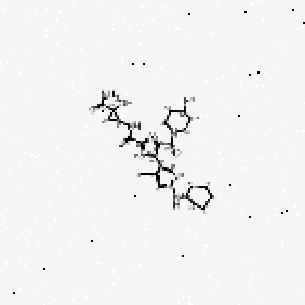 Cc1cc(NC2CCCCC2)ncc1-c1sc(C(=O)NC2CC2(O)C(N)=O)nc1C(=O)N1CCC(F)CC1